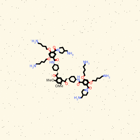 COc1cc(OC)c(C(=O)C[C@H]2CC[C@@H](NC(=O)c3cc(C(=O)N4CCC(CN)CC4)c(OCCCCCN)cc3OCCCCCN)CC2)cc1C(=O)C[C@H]1CC[C@@H](NC(=O)c2cc(C(=O)N3CCC(CN)CC3)c(OCCCCCN)cc2OCCCCCN)CC1